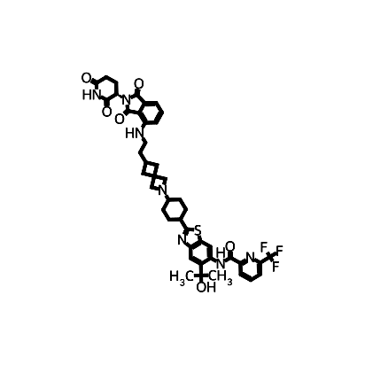 CC(C)(O)c1cc2nc(C3CCC(N4CC5(CC(CCNc6cccc7c6C(=O)N([C@@H]6CCC(=O)NC6=O)C7=O)C5)C4)CC3)sc2cc1NC(=O)c1cccc(C(F)(F)F)n1